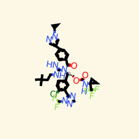 CC(C)(C)CCNC(=N)N(C(=O)c1ccc(-c2cnn(C3CC3)c2)cc1)[C@H](COC(=O)NC1(C(F)(F)F)CC1)c1ccc(Cl)c(-c2ncnn2C(F)F)c1